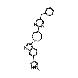 Cn1cc(-c2ccc3c(N4CC=C(c5ncc(Cc6ccccc6)cn5)CCC4)cnn3c2)cn1